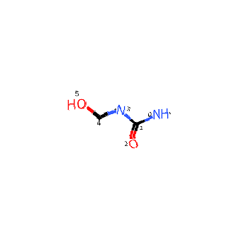 [NH]C(=O)[N]CO